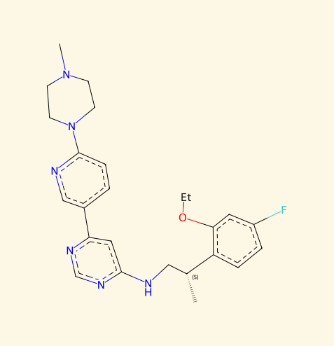 CCOc1cc(F)ccc1[C@H](C)CNc1cc(-c2ccc(N3CCN(C)CC3)nc2)ncn1